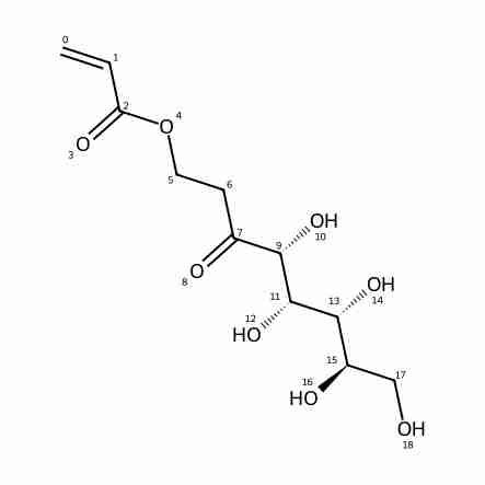 C=CC(=O)OCCC(=O)[C@H](O)[C@@H](O)[C@H](O)[C@H](O)CO